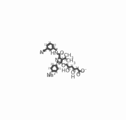 CC(C)c1c(C(=O)NCc2cccc(C#N)c2)nn(-c2ccc(F)cc2)c1OC[C@@H](O)C[C@@H](O)CC(=O)[O-].[Na+]